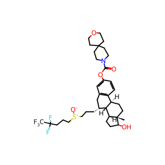 C[C@]12CC[C@@H]3c4ccc(OC(=O)N5CCC6(CCOCC6)CC5)cc4C[C@@H](CCC[S+]([O-])CCCC(F)(F)C(F)(F)F)[C@H]3[C@@H]1CC[C@@H]2O